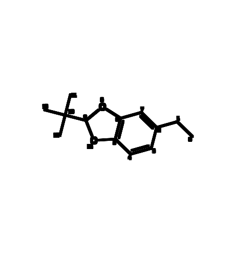 CCc1ccc2c(c1)OC(C(C)(C)C)O2